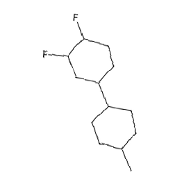 CC1CCC(C2CCC(F)C(F)C2)CC1